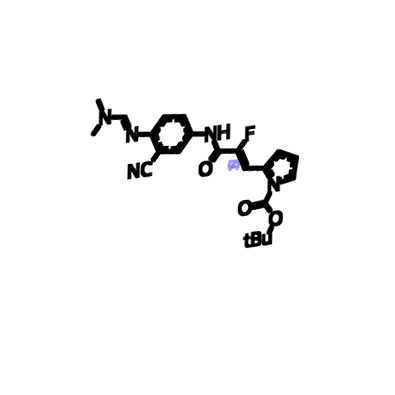 CN(C)C=Nc1ccc(NC(=O)/C(F)=C/c2cccn2C(=O)OC(C)(C)C)cc1C#N